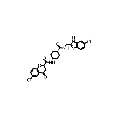 O=C1CC(C(=O)N[C@H]2CC[C@H](C(=O)NCc3nc4ccc(Cl)cc4[nH]3)CC2)Oc2ccc(Cl)cc21